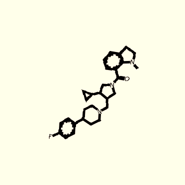 CN1CCc2cccc(C(=O)N3CC(CN4CCC(c5ccc(F)cc5)CC4)C(C4CC4)C3)c21